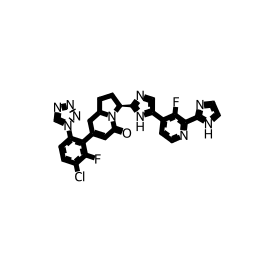 O=C1C=C(c2c(-n3cnnn3)ccc(Cl)c2F)CC2CC[C@@H](c3ncc(-c4ccnc(-c5ncc[nH]5)c4F)[nH]3)N12